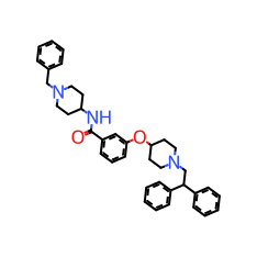 O=C(NC1CCN(Cc2ccccc2)CC1)c1cccc(OC2CCN(CC(c3ccccc3)c3ccccc3)CC2)c1